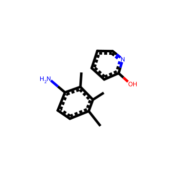 Cc1ccc(N)c(C)c1C.Oc1ccccn1